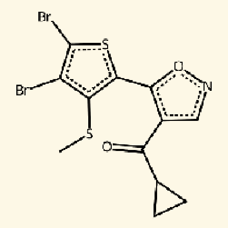 CSc1c(-c2oncc2C(=O)C2CC2)sc(Br)c1Br